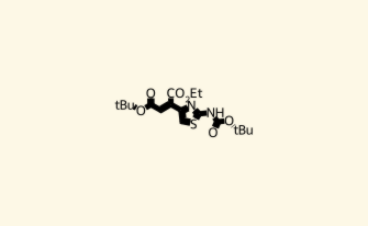 CCOC(=O)/C(=C\C(=O)OC(C)(C)C)c1csc(NC(=O)OC(C)(C)C)n1